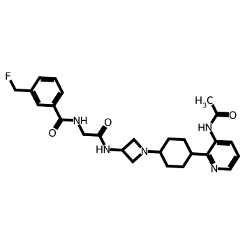 CC(=O)Nc1cccnc1C1CCC(N2CC(NC(=O)CNC(=O)c3cccc(CF)c3)C2)CC1